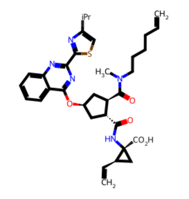 C=CCCCCN(C)C(=O)[C@@H]1C[C@H](Oc2nc(-c3nc(C(C)C)cs3)nc3ccccc23)C[C@H]1C(=O)N[C@]1(C(=O)O)C[C@H]1C=C